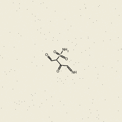 N=CC(=O)C(C=O)S(N)(=O)=O